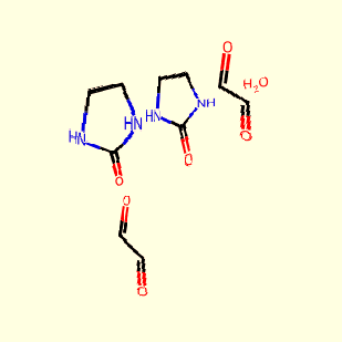 O.O=C1NCCN1.O=C1NCCN1.O=CC=O.O=CC=O